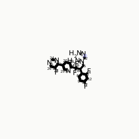 N/N=C\N(N)CC(c1ccc(F)cc1F)C(F)(F)c1ccc(-c2ncncc2F)cn1